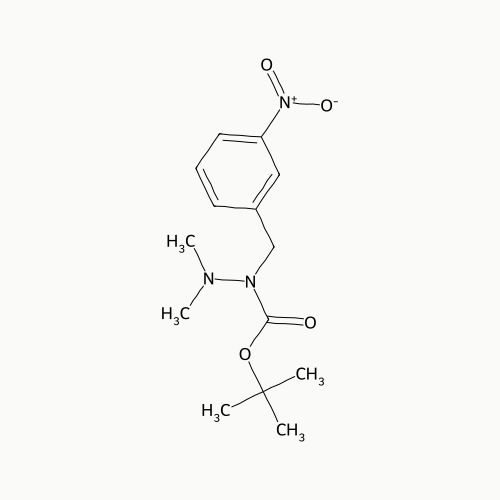 CN(C)N(Cc1cccc([N+](=O)[O-])c1)C(=O)OC(C)(C)C